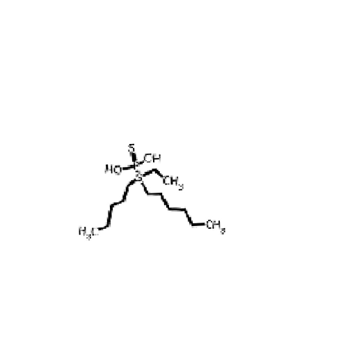 CCCCCCS(CC)(CCCCC)P(O)(O)=S